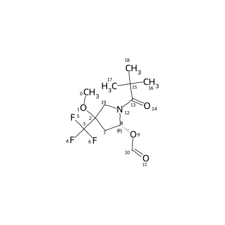 COC1(C(F)(F)F)C[C@@H](OC=O)N(C(=O)C(C)(C)C)C1